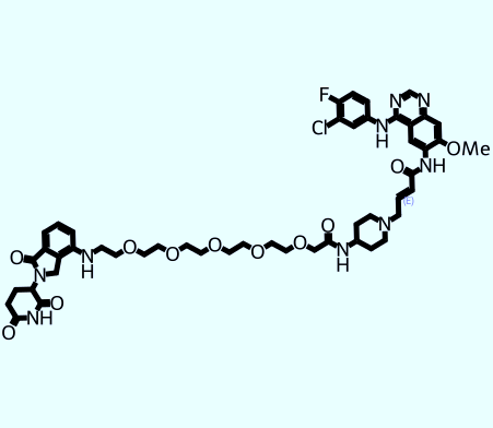 COc1cc2ncnc(Nc3ccc(F)c(Cl)c3)c2cc1NC(=O)/C=C/CN1CCC(NC(=O)COCCOCCOCCOCCOCCNc2cccc3c2CN(C2CCC(=O)NC2=O)C3=O)CC1